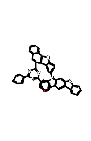 c1ccc(-c2nc(-c3ccccc3)nc(-c3cc4ccccc4c4oc5ccc(-n6c7ccccc7c7cc8c(cc76)sc6ccccc68)cc5c34)n2)cc1